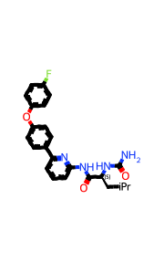 CC(C)C[C@H](NC(N)=O)C(=O)Nc1cccc(-c2ccc(Oc3ccc(F)cc3)cc2)n1